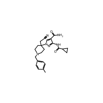 Cc1ccc(CN2CCC(CC#N)(n3cc(C(N)=O)c(NC(=O)C4CC4)n3)CC2)cc1